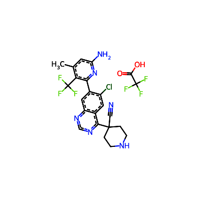 Cc1cc(N)nc(-c2cc3ncnc(C4(C#N)CCNCC4)c3cc2Cl)c1C(F)(F)F.O=C(O)C(F)(F)F